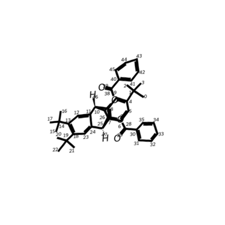 CC(C)(C)c1ccc2c(c1)[C@H]1c3cc(C(C)(C)C)c(C(C)(C)C)cc3[C@H]2C(OC(=O)c2ccccc2)C1OC(=O)c1ccccc1